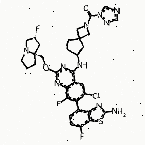 Nc1nc2c(-c3c(Cl)cc4c(NC5CCC6(C5)CN(C(=O)n5cncn5)C6)nc(OC[C@@]56CCCN5C[C@H](F)C6)nc4c3F)ccc(F)c2s1